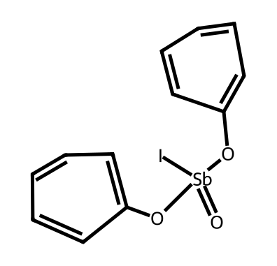 [O]=[Sb]([I])([O]c1ccccc1)[O]c1ccccc1